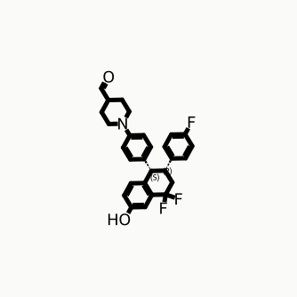 O=CC1CCN(c2ccc([C@H]3c4ccc(O)cc4C(F)(F)C[C@H]3c3ccc(F)cc3)cc2)CC1